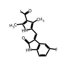 Cc1[nH]c(/C=C2\C(=O)Nc3ccc(F)cc32)c(C)c1C(=O)I